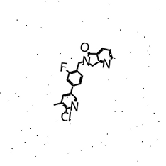 Cc1cc(-c2ccc(CN3Cc4ncccc4C3=O)c(F)c2)cnc1Cl